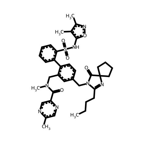 CCCCC1=NC2(CCCC2)C(=O)N1Cc1ccc(-c2ccccc2S(=O)(=O)Nc2onc(C)c2C)c(CN(C)C(=O)c2cnc(C)cn2)c1